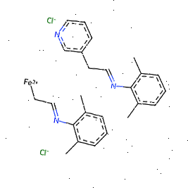 Cc1cccc(C)c1N=CCc1cccnc1.Cc1cccc(C)c1N=C[CH2][Fe+2].[Cl-].[Cl-]